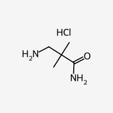 CC(C)(CN)C(N)=O.Cl